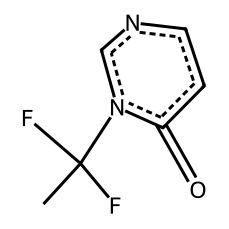 CC(F)(F)n1cnccc1=O